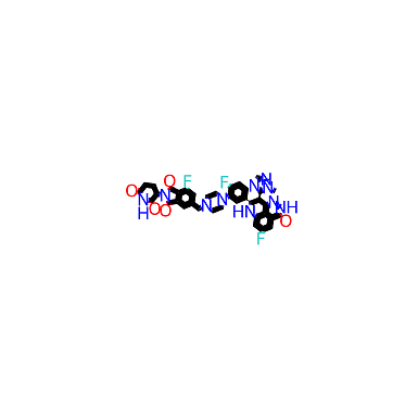 Cn1ncnc1[C@H]1c2n[nH]c(=O)c3cc(F)cc(c23)N[C@@H]1c1ccc(F)c(N2CCN(Cc3cc(F)c4c(c3)C(=O)N(C3CCC(=O)NC3=O)C4=O)CC2)c1